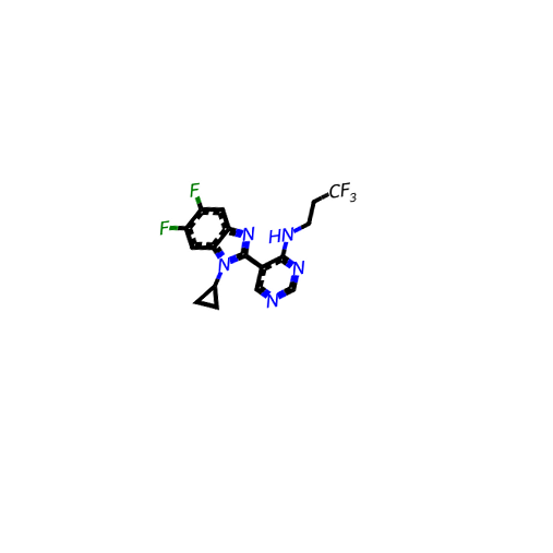 Fc1cc2nc(-c3cncnc3NCCC(F)(F)F)n(C3CC3)c2cc1F